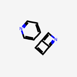 [c]1cc2cnc1-2.[c]1cccnc1